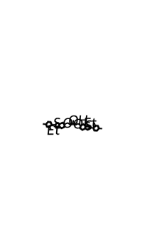 CCc1cc(C)ccc1-c1cc2ccc(OCC(O)COc3ccc4cc(-c5ccc(C)cc5CC)sc4c3)cc2s1